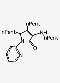 CCCCCNC1=C(CCCCC)C(CCCCC)N(c2ccccn2)C1=O